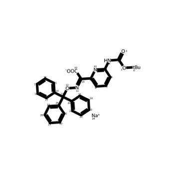 CC(C)(C)OC(=O)Nc1cccc(C(=NOC(c2ccccc2)(c2ccccc2)c2ccccc2)C(=O)[O-])n1.[Na+]